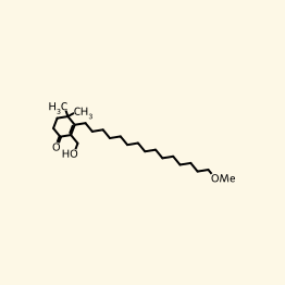 COCCCCCCCCCCCCCCCC1=C(CO)C(=O)CCC1(C)C